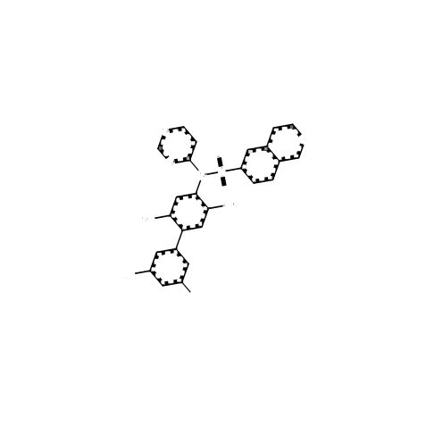 COc1cc(-c2cc(C)cc(Cl)c2)c(C#N)cc1N(c1ccncn1)S(=O)(=O)c1ccc2cnccc2c1